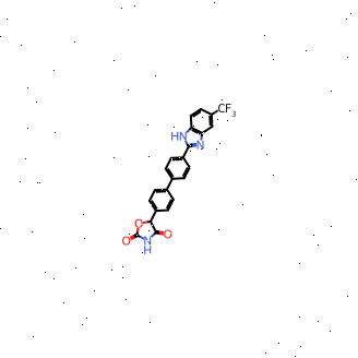 O=C1NC(=O)C(c2ccc(-c3ccc(-c4nc5cc(C(F)(F)F)ccc5[nH]4)cc3)cc2)O1